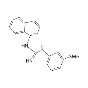 CSc1cccc(NC(=N)Nc2cccc3ccccc23)c1